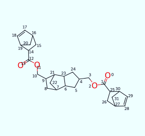 O=C(OCC1CC2C3CC(COC(=O)C4CC5C=CC4C5)C(C3)C2C1)C1CC2C=CC1C2